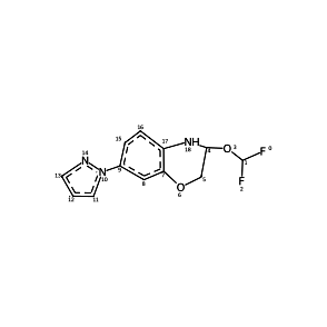 FC(F)OC1COc2cc(-n3c[c]cn3)ccc2N1